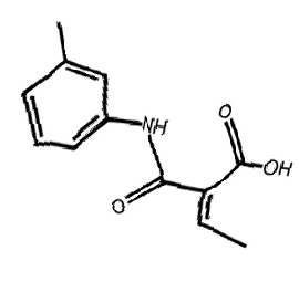 CC=C(C(=O)O)C(=O)Nc1cccc(C)c1